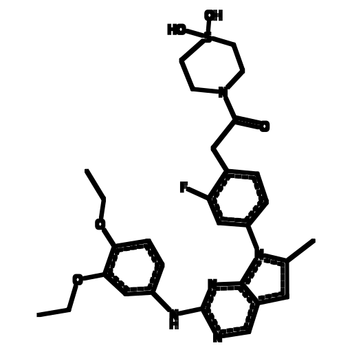 CCOc1ccc(Nc2ncc3cc(C)n(-c4ccc(CC(=O)N5CCS(O)(O)CC5)c(F)c4)c3n2)cc1OCC